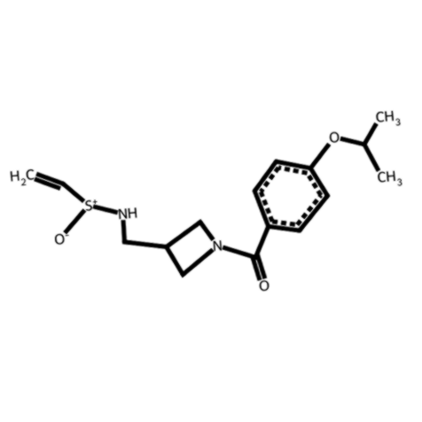 C=C[S+]([O-])NCC1CN(C(=O)c2ccc(OC(C)C)cc2)C1